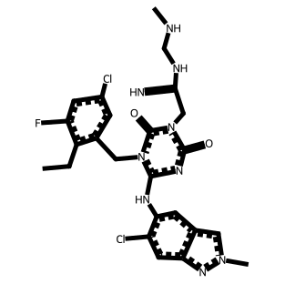 CCc1c(F)cc(Cl)cc1Cn1c(Nc2cc3cn(C)nc3cc2Cl)nc(=O)n(CC(=N)NCNC)c1=O